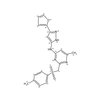 Cc1ccc(S(=O)(=O)Cc2nc(C)cc(Nc3cc(-c4ccco4)n[nH]3)n2)cc1